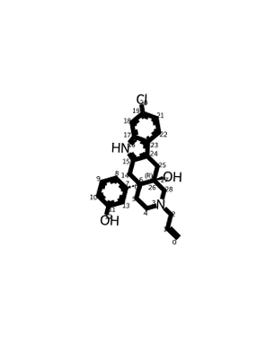 C=CCN1CC[C@@]2(c3cccc(O)c3)Cc3[nH]c4cc(Cl)ccc4c3C[C@]2(O)C1